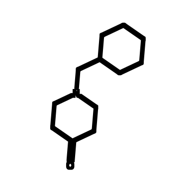 O=C1CCN(CC2CCCCC2)CC1